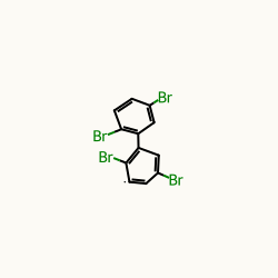 Brc1c[c]c(Br)c(-c2cc(Br)ccc2Br)c1